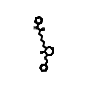 O=C(CCCCCN1COCCC(SCc2ccccc2)C1=O)Nc1ccccc1